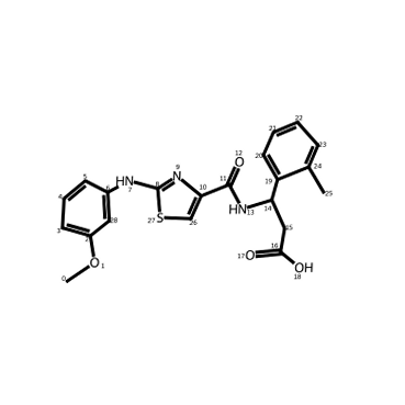 COc1cccc(Nc2nc(C(=O)NC(CC(=O)O)c3ccccc3C)cs2)c1